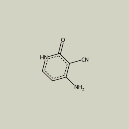 N#Cc1c(N)cc[nH]c1=O